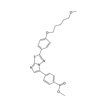 COCCCCCOc1ccc(-c2nn3c(-c4ccc(C(=O)OC)cc4)cnc3s2)cc1